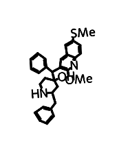 COc1nc2ccc(SC)cc2cc1C(c1ccccc1)C1(O)CCNC(Cc2ccccc2)C1